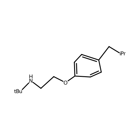 CC(C)Cc1ccc(OCCNC(C)(C)C)cc1